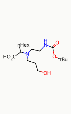 CCCCCCC(C(=O)O)N(CCCO)CCNC(=O)OC(C)(C)C